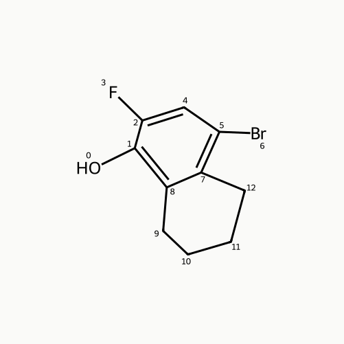 Oc1c(F)cc(Br)c2c1CCCC2